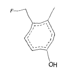 Cc1cc(O)ccc1CF